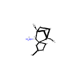 CC1CCC2(C1)[C@H]1CC[C@H](C1)[C@H]2N